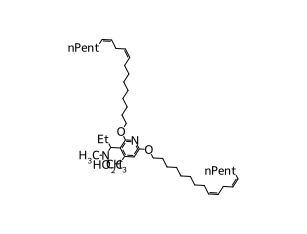 CCCCC/C=C\C/C=C\CCCCCCCCOc1cc(C(=O)O)c(C(CC)N(C)C)c(OCCCCCCCC/C=C\C/C=C\CCCCC)n1